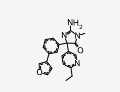 CCc1ccc(C2(c3cccc(-c4ccoc4)c3)N=C(N)N(C)C2=O)cn1